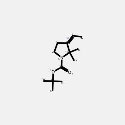 C/C=C1/CCN(C(=O)OC(C)(C)C)C1(C)C